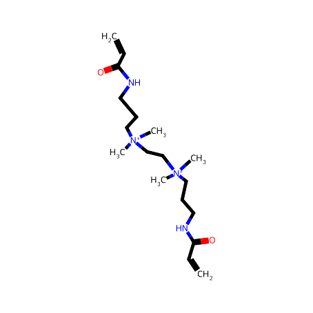 C=CC(=O)NCCC[N+](C)(C)CC[N+](C)(C)CCCNC(=O)C=C